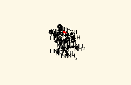 CC(C)[C@H](NC(=O)[C@H](Cc1c[nH]c2ccccc12)NC(=O)[C@H](CCCNC(=N)N)NC(=O)[C@H](CCCNC(=N)N)NC(=O)[C@@H](N)CCCNC(=N)N)C(=O)N[C@@H](Cc1c[nH]c2ccccc12)C(=O)N[C@@H](Cc1c[nH]c2ccccc12)C(=O)N[C@H](C(=O)N[C@H](C(=O)N[C@@H](Cc1c[nH]c2ccccc12)C(=O)O)C(C)C)C(C)C